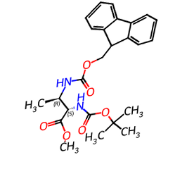 COC(=O)[C@@H](NC(=O)OC(C)(C)C)[C@@H](C)NC(=O)OCC1c2ccccc2-c2ccccc21